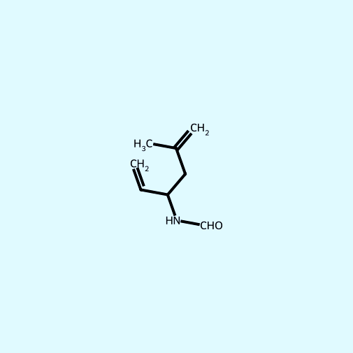 C=CC(CC(=C)C)NC=O